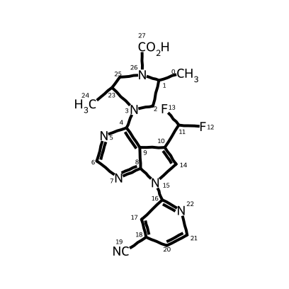 CC1CN(c2ncnc3c2c(C(F)F)cn3-c2cc(C#N)ccn2)C(C)CN1C(=O)O